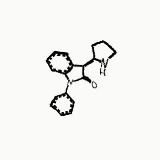 O=C1C(=C2CCCN2)c2ccccc2N1c1ccccc1